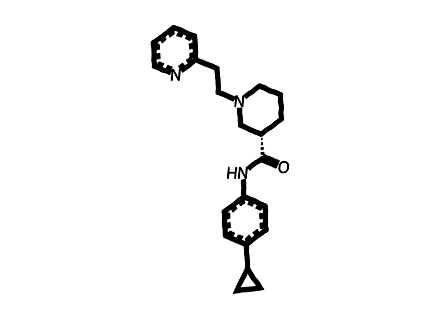 O=C(Nc1ccc(C2CC2)cc1)[C@H]1CCCN(CCc2ccccn2)C1